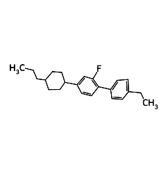 CCCC1CCC(c2ccc(-c3ccc(CC)cc3)c(F)c2)CC1